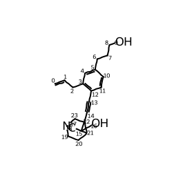 C=CCc1cc(CCCO)ccc1C#CC1(O)CN2CCC1CC2